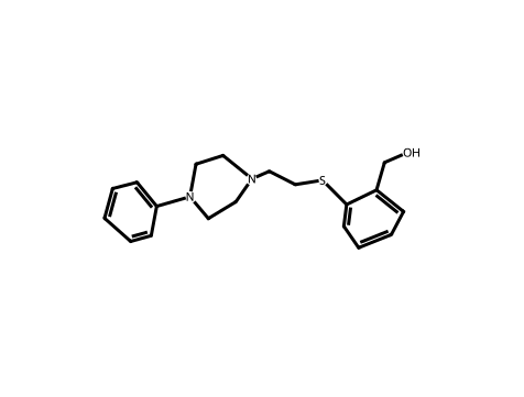 OCc1ccccc1SCCN1CCN(c2ccccc2)CC1